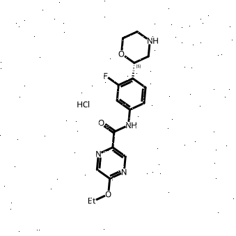 CCOc1cnc(C(=O)Nc2ccc([C@H]3CNCCO3)c(F)c2)cn1.Cl